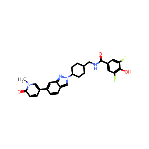 Cn1cc(-c2ccc3cn(C4CCC(CNC(=O)c5cc(F)c(O)c(F)c5)CC4)nc3c2)ccc1=O